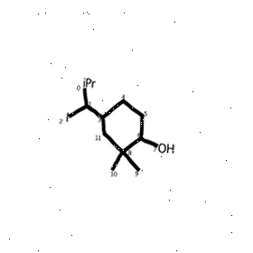 CC(C)C(I)C1CCC(O)C(C)(C)C1